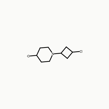 [O]C1CCN(C2CC(Cl)C2)CC1